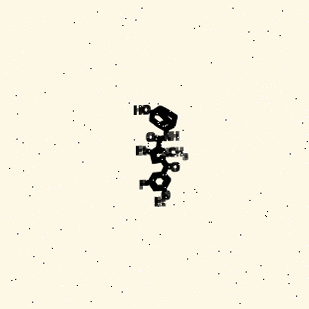 CCOc1cc(F)cc(C(=O)c2cc(CC)c(C(=O)NC3C4CC5CC3CC(O)(C5)C4)n2C)c1